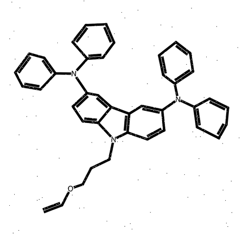 C=COCCCn1c2ccc(N(c3ccccc3)c3ccccc3)cc2c2cc(N(c3ccccc3)c3ccccc3)ccc21